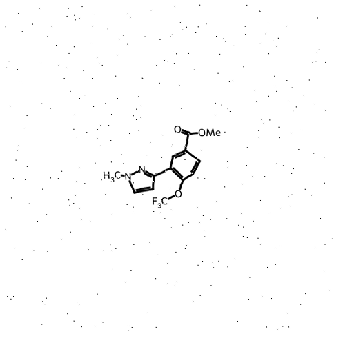 COC(=O)c1ccc(OC(F)(F)F)c(-c2ccn(C)n2)c1